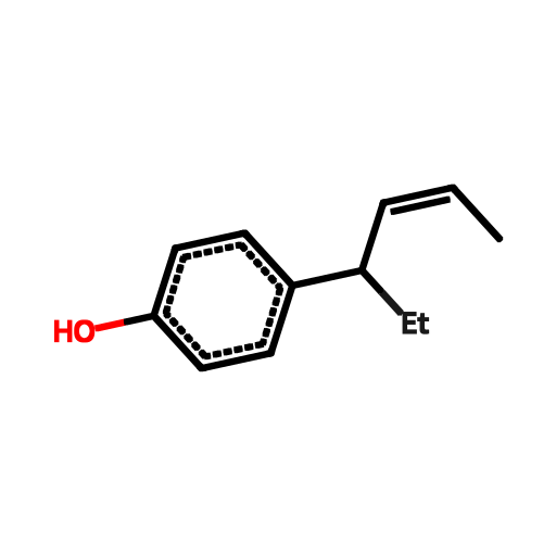 C/C=C\C(CC)c1ccc(O)cc1